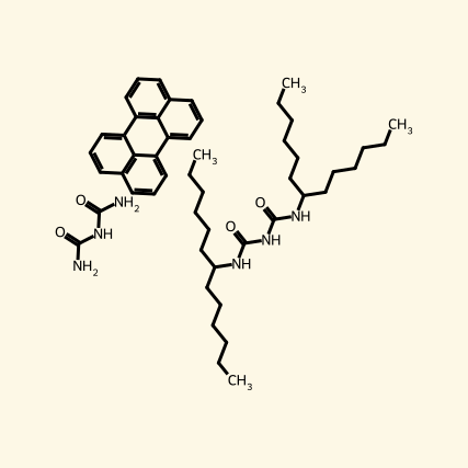 CCCCCCC(CCCCCC)NC(=O)NC(=O)NC(CCCCCC)CCCCCC.NC(=O)NC(N)=O.c1cc2cccc3c4cccc5cccc(c(c1)c23)c54